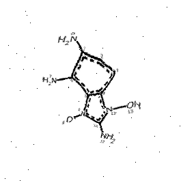 Nc1ccc2c(c1N)[n+]([O-])c(N)n2O